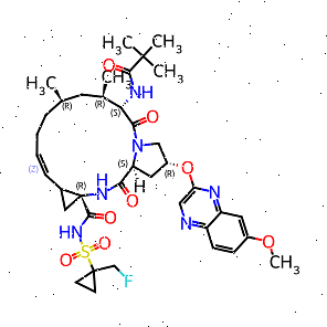 COc1ccc2ncc(O[C@@H]3C[C@H]4C(=O)N[C@]5(C(=O)NS(=O)(=O)C6(CF)CC6)CC5/C=C\CC[C@@H](C)C[C@@H](C)[C@H](NC(=O)C(C)(C)C)C(=O)N4C3)nc2c1